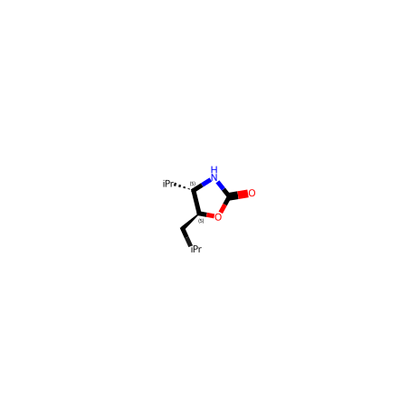 CC(C)C[C@@H]1OC(=O)N[C@H]1C(C)C